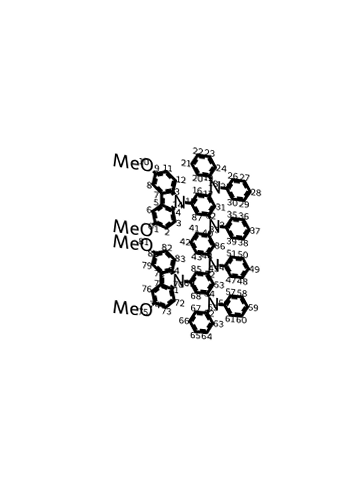 COc1ccc2c(c1)c1cc(OC)ccc1n2-c1cc(N(c2ccccc2)c2ccccc2)cc(N(c2ccccc2)c2cccc(N(c3ccccc3)c3cc(N(c4ccccc4)c4ccccc4)cc(-n4c5ccc(OC)cc5c5cc(OC)ccc54)c3)c2)c1